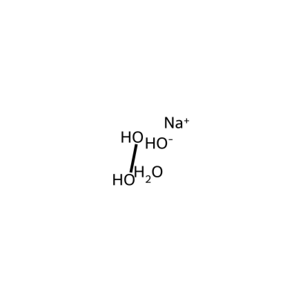 O.OO.[Na+].[OH-]